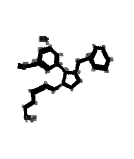 Br.O=C(O)CC/C=C\C[C@H]1CCN(Cc2ccccc2)[C@@H]1c1cccc(O)c1